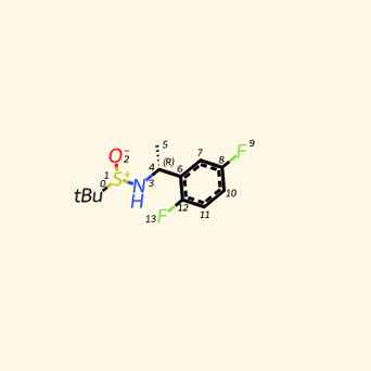 [CH2]C(C)(C)[S+]([O-])N[C@H](C)c1cc(F)ccc1F